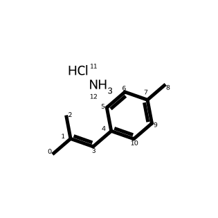 CC(C)=Cc1ccc(C)cc1.Cl.N